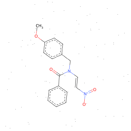 COc1ccc(CN(C=C[N+](=O)[O-])C(=O)c2ccccc2)cc1